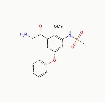 COc1c(NS(C)(=O)=O)cc(Oc2ccccc2)cc1C(=O)CN